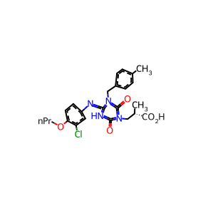 CCCOc1ccc(/N=c2\[nH]c(=O)n(C[C@H](C)C(=O)O)c(=O)n2Cc2ccc(C)cc2)cc1Cl